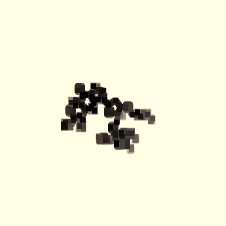 CC(C)C(=O)Nc1nc2c(ncn2[C@H]2CC(OCN)[C@@H](CO[Si](C)(C)C(C)(C)C)O2)c(=O)[nH]1